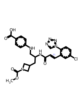 COC(=O)N1CC(CC(CNc2ccc(C(=O)O)cc2)NC(=O)/C=C/c2cc(Cl)ccc2-n2cnnn2)C1